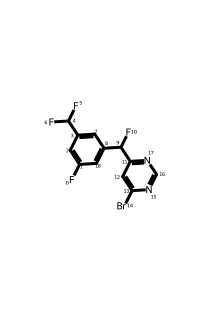 Fc1cc(C(F)F)cc(C(F)c2cc(Br)ncn2)c1